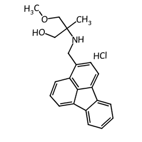 COCC(C)(CO)NCc1ccc2c3c(cccc13)-c1ccccc1-2.Cl